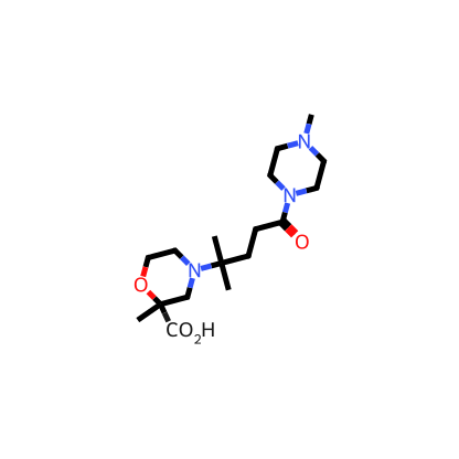 CN1CCN(C(=O)CCC(C)(C)N2CCOC(C)(C(=O)O)C2)CC1